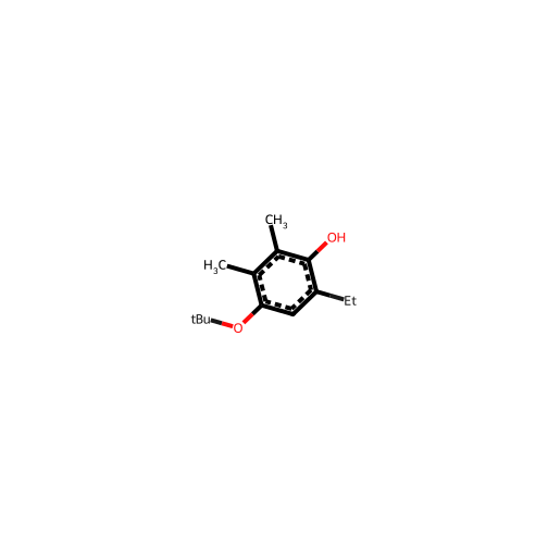 CCc1cc(OC(C)(C)C)c(C)c(C)c1O